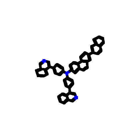 c1ccc2cc(-c3ccc4c(ccc5cc(N(c6ccc(-c7cncc8ccccc78)cc6)c6ccc(-c7cncc8ccccc78)cc6)ccc54)c3)ccc2c1